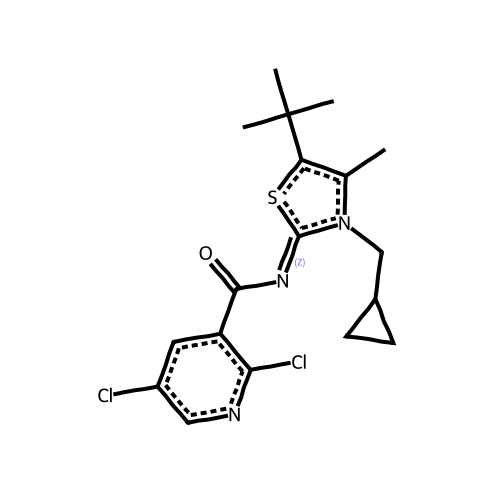 Cc1c(C(C)(C)C)s/c(=N\C(=O)c2cc(Cl)cnc2Cl)n1CC1CC1